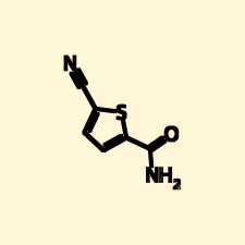 N#Cc1ccc(C(N)=O)s1